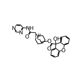 O=C(C[N+]12CCC(CC1)C(OC(=O)C1(O)c3ccccc3Oc3ccccc31)C2)Nc1ccncn1